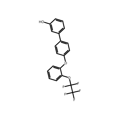 Oc1cccc(-c2ccc(Oc3ccccc3OC(F)(F)C(F)(F)F)cc2)c1